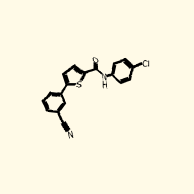 N#Cc1cccc(-c2ccc(C(=O)Nc3ccc(Cl)cc3)s2)c1